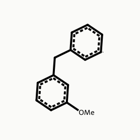 COc1cccc(Cc2c[c]ccc2)c1